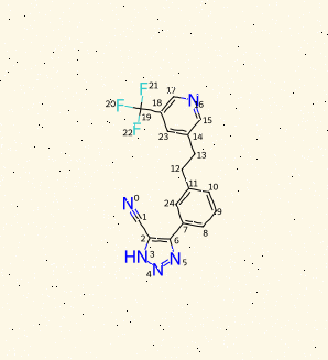 N#Cc1[nH]nnc1-c1cccc(CCc2cncc(C(F)(F)F)c2)c1